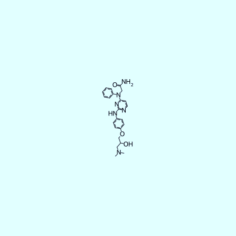 CN(C)CC(O)COc1ccc(Nc2nccc(N(CC(N)=O)c3ccccc3)n2)cc1